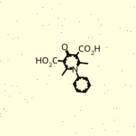 Cc1c(C(=O)O)c(=O)c(C(=O)O)c(C)n1-c1ccccc1